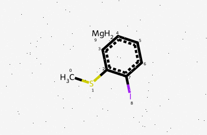 CSc1ccccc1I.[MgH2]